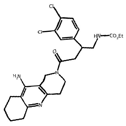 CCOC(=O)NCC(CC(=O)N1CCc2nc3c(c(N)c2C1)CCCC3)c1ccc(Cl)c(Cl)c1